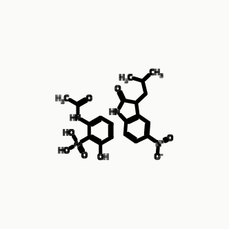 CC(=O)Nc1cccc(O)c1[As](=O)(O)O.CC(C)CC1C(=O)Nc2ccc([N+](=O)[O-])cc21